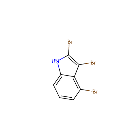 Brc1[nH]c2cccc(Br)c2c1Br